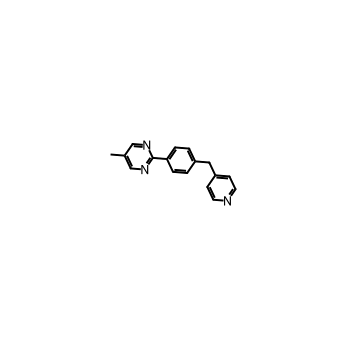 Cc1cnc(-c2ccc(Cc3ccncc3)cc2)nc1